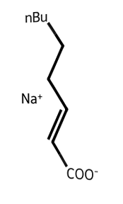 CCCCCCC=CC(=O)[O-].[Na+]